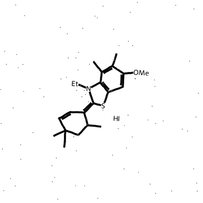 CCN1C(=C2C=CC(C)(C)CC2C)Sc2cc(OC)c(C)c(C)c21.I